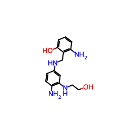 Nc1ccc(NCc2c(N)cccc2O)cc1NCCO